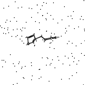 S=C=NCc1ccoc1